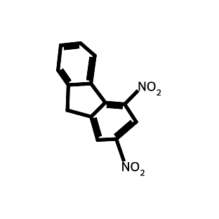 O=[N+]([O-])c1cc2c(c([N+](=O)[O-])c1)-c1ccccc1C2